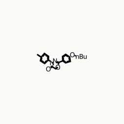 CCCCOc1ccc(C2=NN(c3ccc(C)cc3)C(=O)CO2)cc1